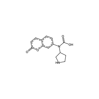 O=C(O)N(c1ccc2ccc(=O)oc2c1)C1CCNC1